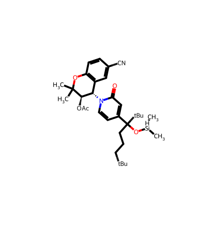 CC(=O)O[C@@H]1[C@@H](n2ccc(C(CCCC(C)(C)C)(O[SiH](C)C)C(C)(C)C)cc2=O)c2cc(C#N)ccc2OC1(C)C